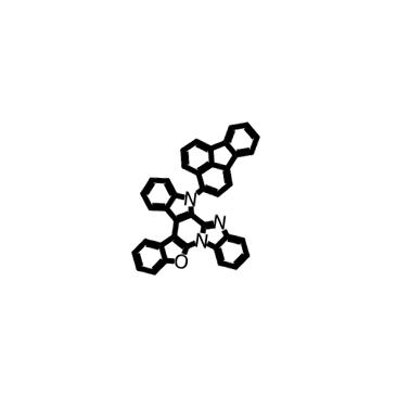 c1ccc2c(c1)-c1cccc3c(-n4c5ccccc5c5c6c7ccccc7oc6n6c7ccccc7nc6c54)ccc-2c13